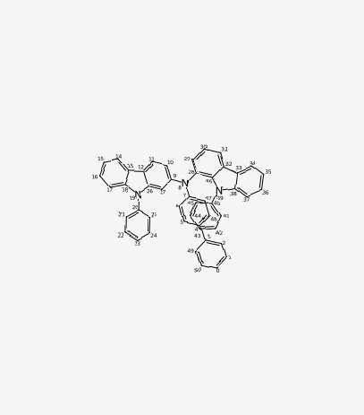 c1ccc(-c2ccc(N(c3ccc4c5ccccc5n(-c5ccccc5)c4c3)c3cccc4c5ccccc5n(-c5ccccc5)c34)cc2)cc1